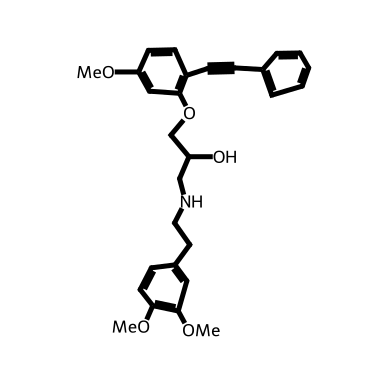 COc1ccc(C#Cc2ccccc2)c(OCC(O)CNCCc2ccc(OC)c(OC)c2)c1